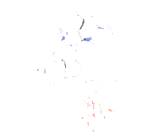 C[C@@]1(Cl)[C@H](O)[C@@H](COP(=O)(O)OP(=O)(O)OP(=O)(O)O)O[C@H]1n1cnc2c(Cl)nc(N)nc21